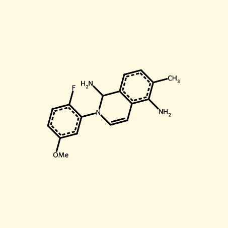 COc1ccc(F)c(N2C=Cc3c(ccc(C)c3N)C2N)c1